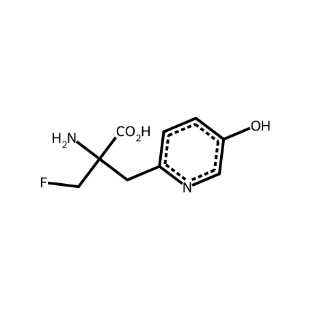 NC(CF)(Cc1ccc(O)cn1)C(=O)O